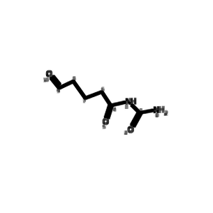 NC(=O)NC(=O)CCCC=O